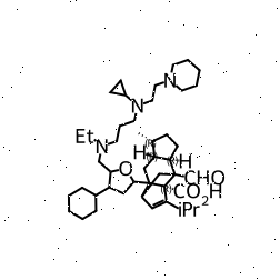 CCN(CCCN(CCN1CCCCC1)C1CC1)CC1OC(C23C[C@@H]4[C@H](C)CC[C@H]4C4(C=O)CC2C=C(C(C)C)[C@@]34C(=O)O)CC1C1CCCCC1